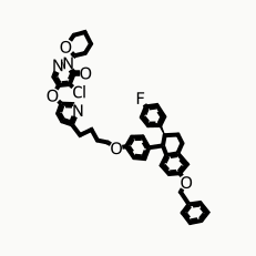 O=c1c(Cl)c(Oc2ccc(CCCCOc3ccc(C4c5ccc(OCc6ccccc6)cc5CC[C@@H]4c4ccc(F)cc4)cc3)nc2)cnn1C1CCCCO1